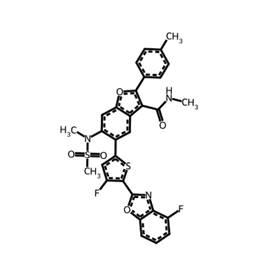 CNC(=O)c1c(-c2ccc(C)cc2)oc2cc(N(C)S(C)(=O)=O)c(-c3cc(F)c(-c4nc5c(F)cccc5o4)s3)cc12